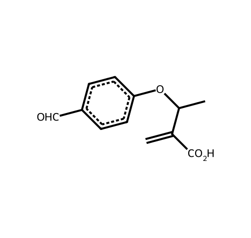 C=C(C(=O)O)C(C)Oc1ccc(C=O)cc1